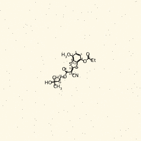 CCC(=O)Oc1ccc(C)c2c1S/C(=C(\C#N)C(=O)OCCC(C)(C)O)S2